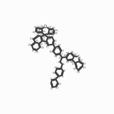 c1ccc(-c2ccc(CCC(c3ccc(-c4ccc5c(c4)-c4c(ccc6ccccc46)C54c5ccccc5Oc5ccccc54)cc3)c3ccc4sc5ccccc5c4c3)cc2)cc1